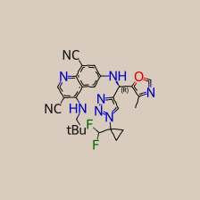 Cc1ncoc1[C@H](Nc1cc(C#N)c2ncc(C#N)c(NCC(C)(C)C)c2c1)c1cn(C2(C(F)F)CC2)nn1